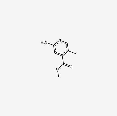 COC(=O)c1cc(N)ncc1C